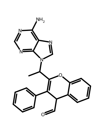 CC(C1=C(c2ccccc2)C(C=O)c2ccccc2O1)n1cnc2c(N)ncnc21